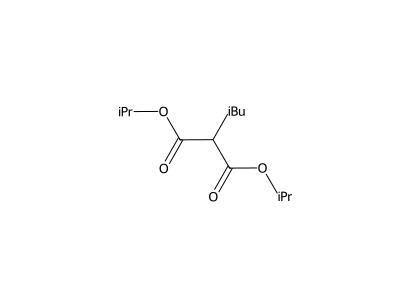 CCC(C)C(C(=O)OC(C)C)C(=O)OC(C)C